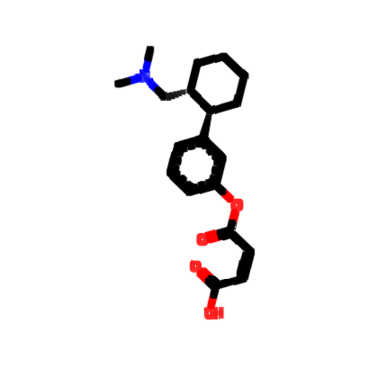 CN(C)C[C@@H]1CCCC[C@H]1c1cccc(OC(=O)/C=C\C(=O)O)c1